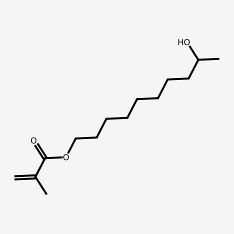 C=C(C)C(=O)OCCCCCCCCC(C)O